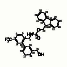 O=C(NCc1ccc(C(F)(F)F)cc1-c1cccc(CO)c1)OCC1c2ccccc2-c2ccccc21